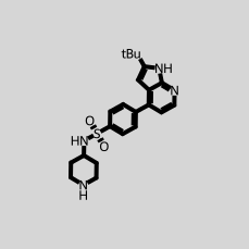 CC(C)(C)c1cc2c(-c3ccc(S(=O)(=O)NC4CCNCC4)cc3)ccnc2[nH]1